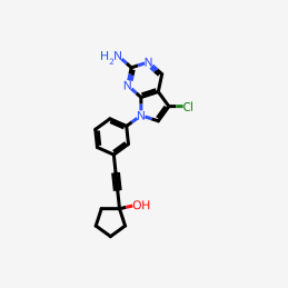 Nc1ncc2c(Cl)cn(-c3cccc(C#CC4(O)CCCC4)c3)c2n1